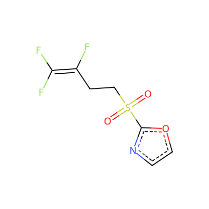 O=S(=O)(CCC(F)=C(F)F)c1ncco1